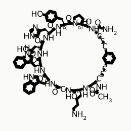 CC(=O)N[C@H]1CSCc2cccc(c2)CSC[C@@H](C(N)=O)NC(=O)[C@@H]2CCCN2C(=O)[C@H](Cc2ccc(O)cc2)NC(=O)[C@H](Cc2c[nH]cn2)NC(=O)[C@H](CC(=O)O)NC(=O)[C@H](Cc2c[nH]c3ccccc23)NC(=O)[C@H](Cc2c[nH]c3ccccc23)NC(=O)CNC(=O)[C@H](CCCCN)NC1=O